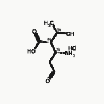 C[C@@H](O)[C@@H](C(=O)O)[C@H](N)CC=O.Cl